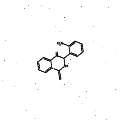 O=C1NC(c2ccccc2[N+](=O)[O-])Nc2ccccc21